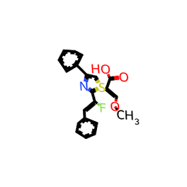 COC=CC(=O)O.FC(=Cc1ccccc1)c1nc(-c2ccccc2)cs1